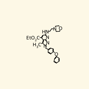 CCOC(=O)c1cc(NCCN2CCOCC2)nc2nn(Cc3ccc(Oc4ccccc4)cc3)c(C)c12